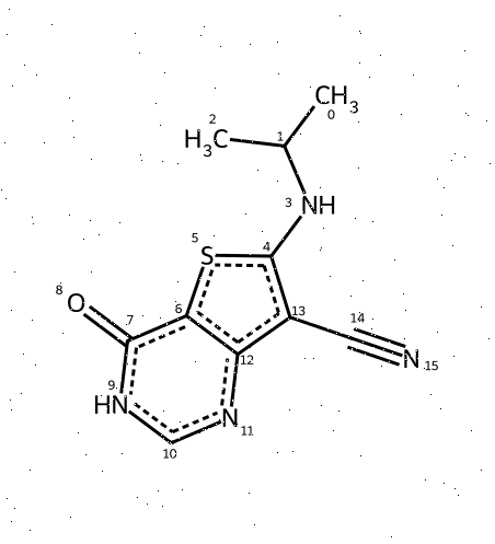 CC(C)Nc1sc2c(=O)[nH]cnc2c1C#N